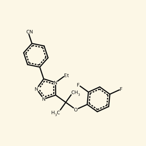 CCn1c(-c2ccc(C#N)cc2)nnc1C(C)(C)Oc1ccc(F)cc1F